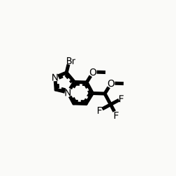 COc1c(C(OC)C(F)(F)F)ccn2cnc(Br)c12